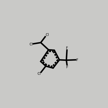 FC(F)(F)c1cc(Cl)cc(C(Cl)Cl)c1